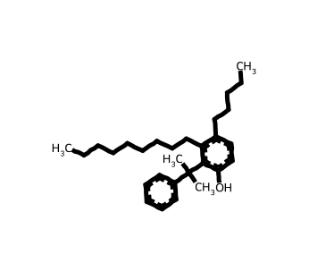 CCCCCCCCCc1c(CCCCC)ccc(O)c1C(C)(C)c1ccccc1